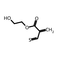 C=C(C=S)C(=O)OCCO